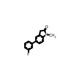 CN1C(=O)Cc2cc(-c3cccc(F)c3)ccc21